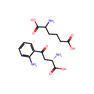 NC(CCCC(=O)O)C(=O)O.Nc1ccccc1C(=O)C[C@H](N)C(=O)O